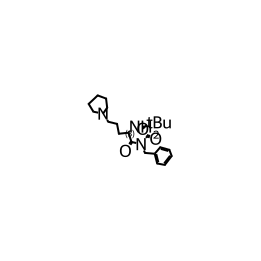 CC(C)(C)OC(=O)N(Cc1ccccc1)C(=O)[C@@H](N)CCCN1CCCCC1